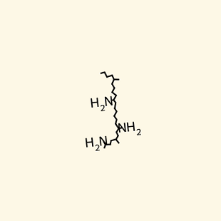 CCCCC(C)CCCCC(N)CCCCCCC(N)CCC(C)CCC(C)N